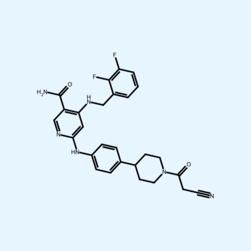 N#CCC(=O)N1CCC(c2ccc(Nc3cc(NCc4cccc(F)c4F)c(C(N)=O)cn3)cc2)CC1